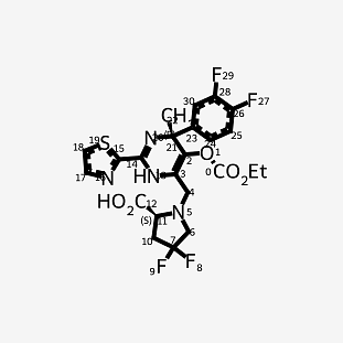 CCOC(=O)OC1=C(CN2CC(F)(F)C[C@H]2C(=O)O)NC(c2nccs2)=N[C@]1(C)c1ccc(F)c(F)c1